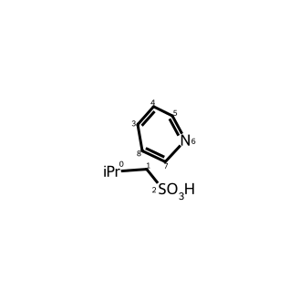 CC(C)CS(=O)(=O)O.c1ccncc1